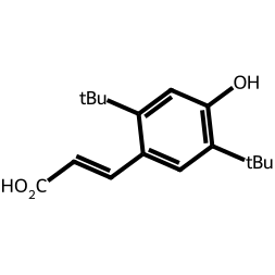 CC(C)(C)c1cc(C=CC(=O)O)c(C(C)(C)C)cc1O